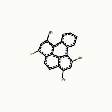 CC(C)c1cc(Br)c2c3ccccc3c3c(C(C)C)cc(Br)c4ccc1c2c43